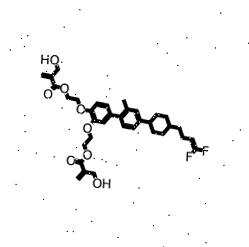 C=C(CO)C(=O)OCCOc1ccc(-c2ccc(C3CCC(CCC=C(F)F)CC3)cc2C)cc1OCCOC(=O)C(=C)CO